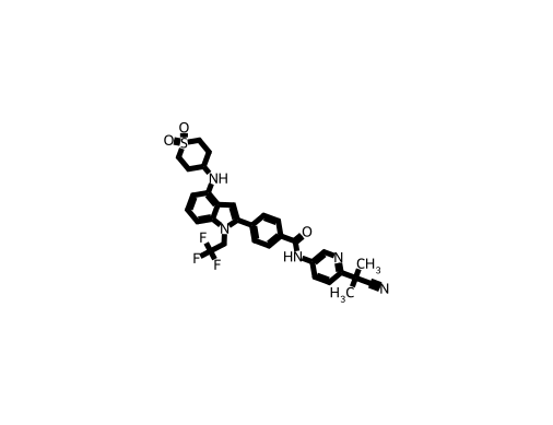 CC(C)(C#N)c1ccc(NC(=O)c2ccc(-c3cc4c(NC5CCS(=O)(=O)CC5)cccc4n3CC(F)(F)F)cc2)cn1